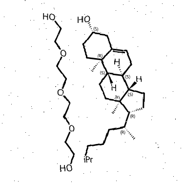 CC(C)CCC[C@@H](C)[C@H]1CC[C@H]2[C@@H]3CC=C4C[C@@H](O)CC[C@]4(C)[C@H]3CC[C@]12C.OCCOCCOCCOCCO